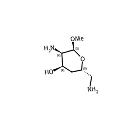 CO[C@H]1O[C@H](CN)C[C@@H](O)[C@H]1N